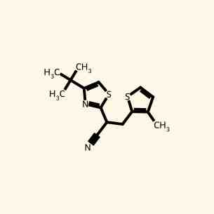 Cc1ccsc1CC(C#N)c1nc(C(C)(C)C)cs1